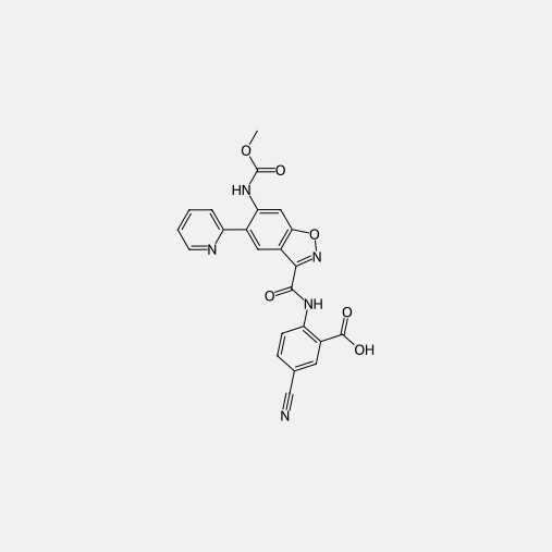 COC(=O)Nc1cc2onc(C(=O)Nc3ccc(C#N)cc3C(=O)O)c2cc1-c1ccccn1